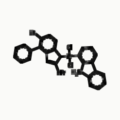 CCCC1=Cc2c(ccc(CC)c2-c2ccccc2)[CH]1[Zr]([Cl])([Cl])[c]1cccc2c1[SiH2]c1ccccc1-2